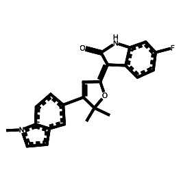 Cn1ccc2cc(C3=C/C(=C4\C(=O)Nc5cc(F)ccc54)OC3(C)C)ccc21